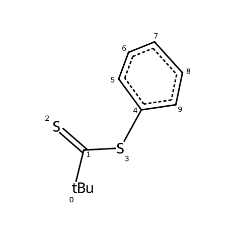 CC(C)(C)C(=S)Sc1ccccc1